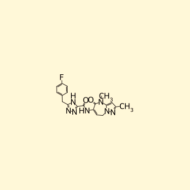 Cc1cc2n(n1)CC=C(NC(=O)c1nnc(Cc3ccc(F)cc3)[nH]1)C(=O)N2C